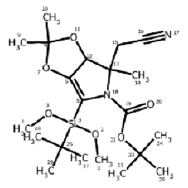 CO[Si](OC)(C1=C2OC(C)(C)OC2C(C)(CC#N)N1C(=O)OC(C)(C)C)C(C)(C)C